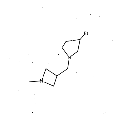 CCC1CCN(CC2CN(C)C2)C1